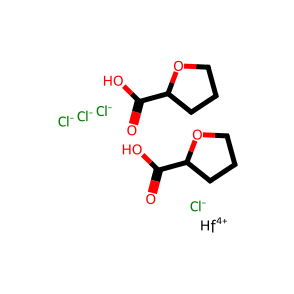 O=C(O)C1CCCO1.O=C(O)C1CCCO1.[Cl-].[Cl-].[Cl-].[Cl-].[Hf+4]